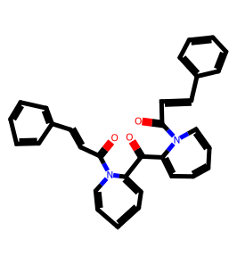 O=C(C1=CC=CC=CN1C(=O)/C=C/c1ccccc1)C1=CC=CC=CN1C(=O)/C=C/c1ccccc1